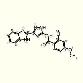 COc1ccc(C(=O)Nc2cc(-c3nc4ccccc4[nH]3)n[nH]2)c(Cl)c1